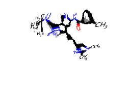 BC(B)(B)Nc1ncc(C#Cc2cn(C)c(C)n2)c2cc(NC(=O)[C@H]3C[C@H]3C)ncc12